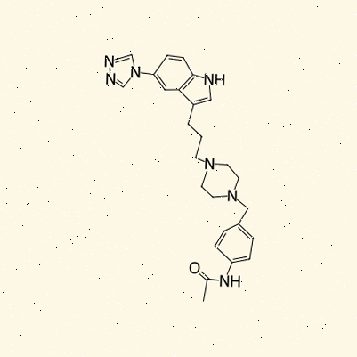 CC(=O)Nc1ccc(CN2CCN(CCCc3c[nH]c4ccc(-n5cnnc5)cc34)CC2)cc1